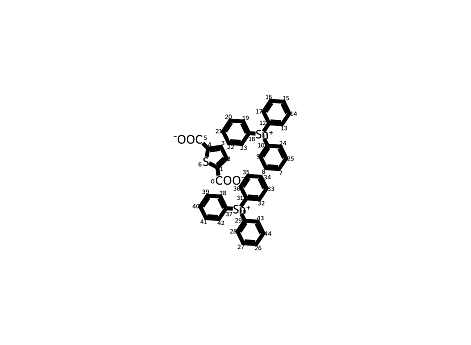 O=C([O-])c1ccc(C(=O)[O-])s1.c1cc[c]([Sn+]([c]2ccccc2)[c]2ccccc2)cc1.c1cc[c]([Sn+]([c]2ccccc2)[c]2ccccc2)cc1